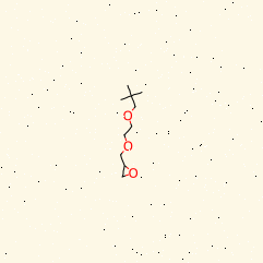 CC(C)(C)COCCOCC1CO1